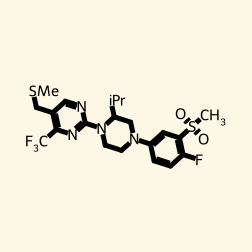 CSCc1cnc(N2CCN(c3ccc(F)c(S(C)(=O)=O)c3)CC2C(C)C)nc1C(F)(F)F